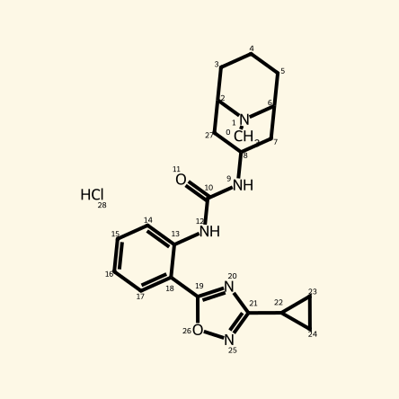 CN1C2CCCC1CC(NC(=O)Nc1ccccc1-c1nc(C3CC3)no1)C2.Cl